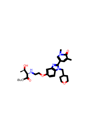 Cc1cc(-c2nc3cc(OCCN[C@H](C(=O)OCC(C)C)[C@@H](C)O)ccc3n2CC2CCOCC2)cn(C)c1=O